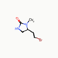 CN1C(=O)NCC1CCBr